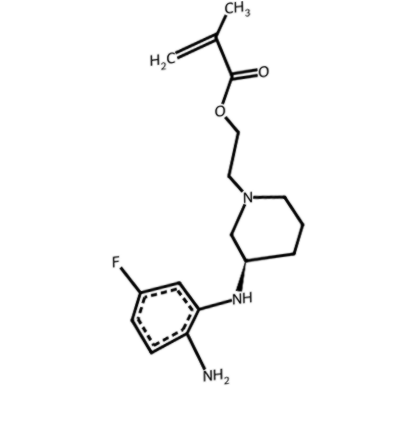 C=C(C)C(=O)OCCN1CCC[C@@H](Nc2cc(F)ccc2N)C1